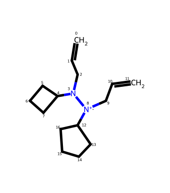 C=CCN(C1CCC1)[N+](CC=C)C1CCCC1